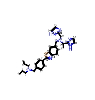 CCCN(CCC)Cc1ccc(-c2nc3ccc(CN(Cc4ncc[nH]4)C(C)c4ncc[nH]4)cc3s2)cc1